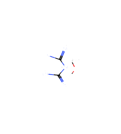 CCCCCCOC(=O)O.N=C(N)NC(=N)N